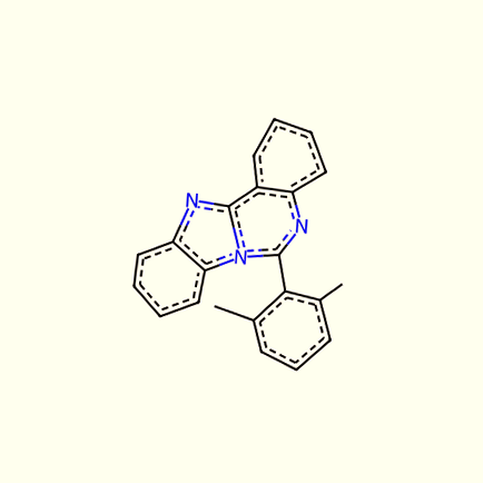 Cc1cccc(C)c1-c1nc2ccccc2c2nc3ccccc3n12